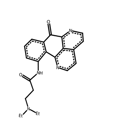 CCN(CC)CCC(=O)Nc1cccc2c1-c1nccc3ccnc(c13)C2=O